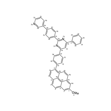 COc1cc2ccc3ccc(-c4ccc(-c5cc(-c6ccccc6)nc(-c6ccc(-c7cccnc7)cc6)n5)cc4)c4ccc(c1)c2c34